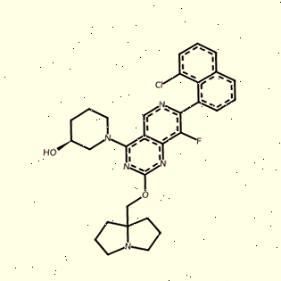 O[C@H]1CCCN(c2nc(OCC34CCCN3CCC4)nc3c(F)c(-c4cccc5cccc(Cl)c45)ncc23)C1